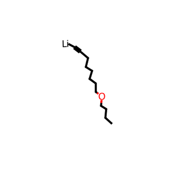 [Li][C]#CCCCCCCOCCCC